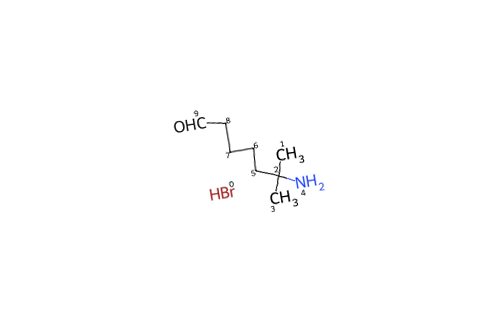 Br.CC(C)(N)CCCCC=O